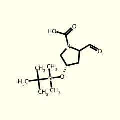 CC(C)(C)[Si](C)(C)O[C@H]1CC(C=O)N(C(=O)O)C1